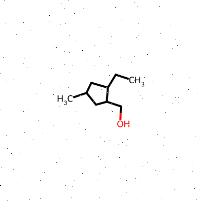 CCC1CC(C)CC1CO